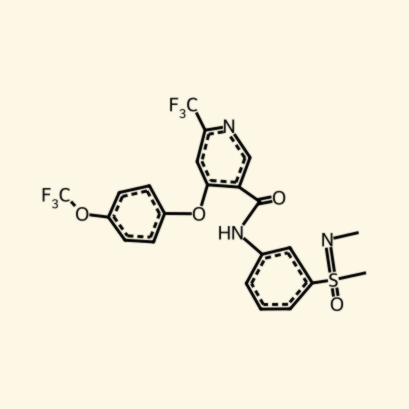 CN=S(C)(=O)c1cccc(NC(=O)c2cnc(C(F)(F)F)cc2Oc2ccc(OC(F)(F)F)cc2)c1